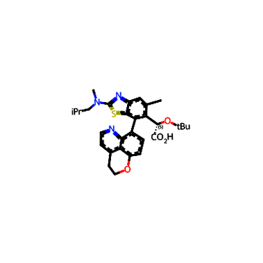 Cc1cc2nc(N(C)CC(C)C)sc2c(-c2ccc3c4c(ccnc24)CCO3)c1[C@H](OC(C)(C)C)C(=O)O